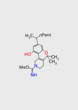 CCCCCC(C)c1cc(O)c2c(c1)OC(C)(C)C1=C2CN(C(=N)OC)CC1